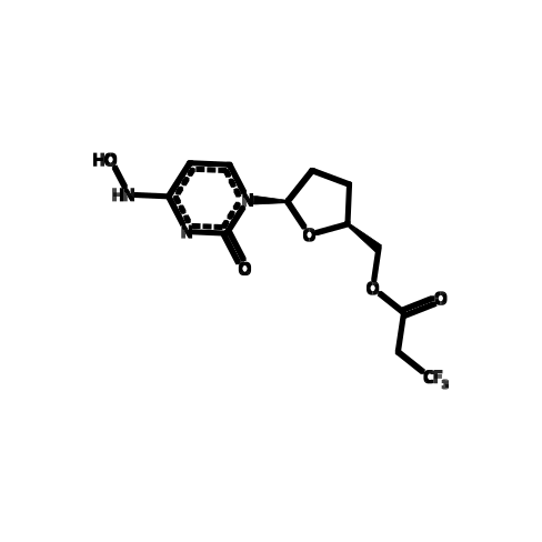 O=C(CC(F)(F)F)OC[C@@H]1CC[C@H](n2ccc(NO)nc2=O)O1